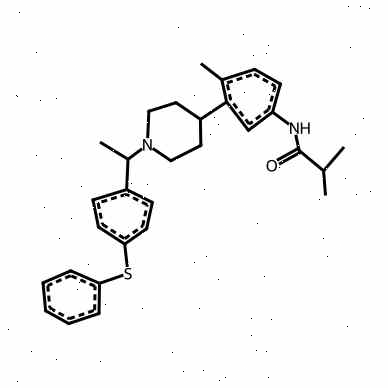 Cc1ccc(NC(=O)C(C)C)cc1C1CCN(C(C)c2ccc(Sc3ccccc3)cc2)CC1